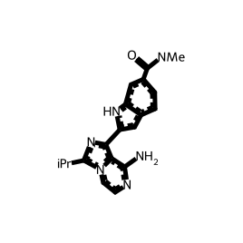 CNC(=O)c1ccc2cc(-c3nc(C(C)C)n4ccnc(N)c34)[nH]c2c1